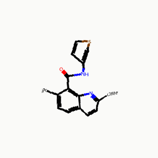 COc1ccc2ccc(C(C)C)c(C(=O)Nc3ccsc3)c2n1